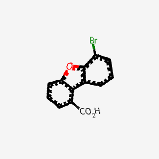 O=C(O)c1cccc2oc3c(Br)cccc3c12